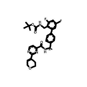 C[C@@H](NC(=O)c1ccnc(C2=CCOCC2)n1)c1ccc(-c2cc(F)cc(F)c2CNC(=O)OC(C)(C)C)cc1